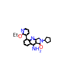 CCOc1ncccc1-c1cccc2c(N)c3c(nc12)CN(C1CCCC1)C3=O